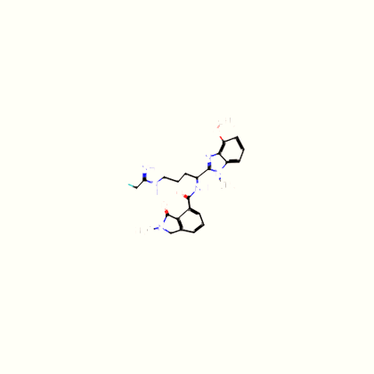 COc1cccc2c1nc(C(CCCNC(=N)CF)NC(=O)c1cccc3c1C(=O)N(C)C3)n2C